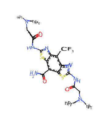 CCCN(CCC)CC(=O)Nc1nc2c(C(F)(F)F)c3nc(NC(=O)CN(CCC)CCC)sc3c(C(N)=O)c2s1